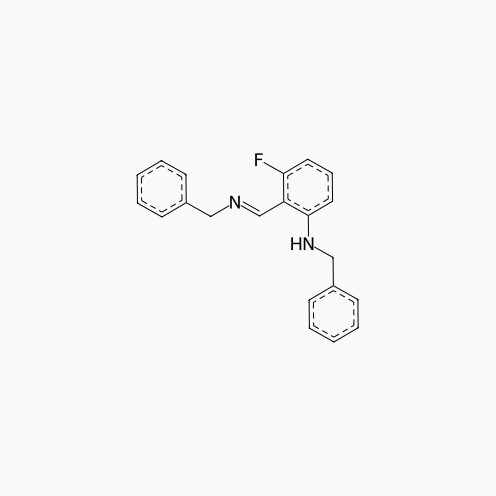 Fc1cccc(NCc2ccccc2)c1C=NCc1ccccc1